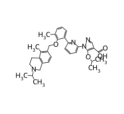 Cc1cccc(-c2cccc(-n3ncc(C(=O)O)c3OC(C)C)n2)c1OCc1ccc2c(c1C)CCN(C(C)C)C2